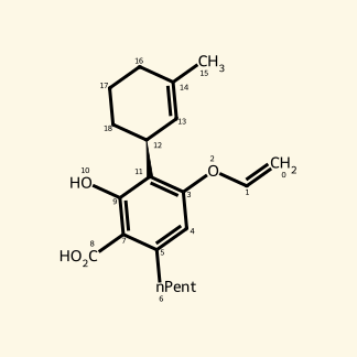 C=COc1cc(CCCCC)c(C(=O)O)c(O)c1[C@@H]1C=C(C)CCC1